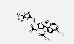 CC(=O)O[C@@H]1[C@H](CC(=O)O)[C@H](COC(=O)SC(C)(C)C)O[C@@]1(C#N)c1ccc2c(N)ncnn12